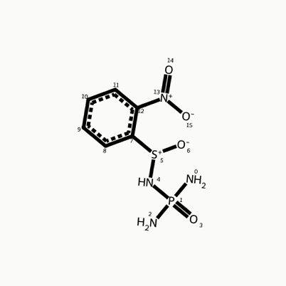 NP(N)(=O)N[S+]([O-])c1ccccc1[N+](=O)[O-]